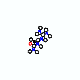 c1ccc(N(c2ccccc2)c2cc3c4c(c2)N(c2ccccc2)c2cc(-n5c6ccccc6c6c7c(c8ccccc8n7-c7ccccc7)c7c(c8ccccc8n7-c7ccccc7)c65)ccc2B4c2ccccc2O3)cc1